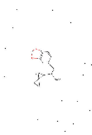 CNC(Cc1ccc2c(c1)OCO2)C1CC12CC2